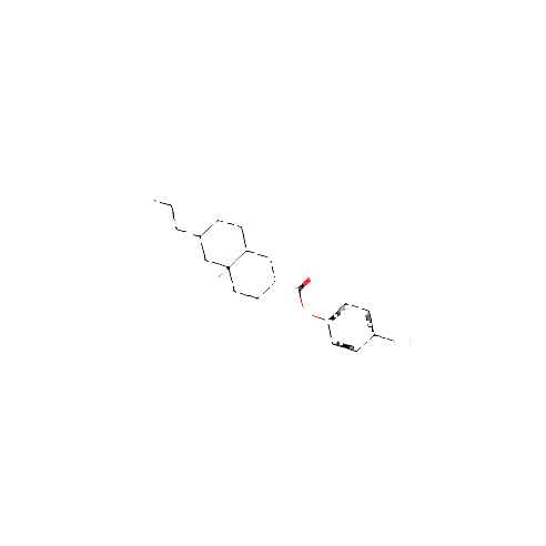 CCCC1CCC2C[C@H](C(=O)Oc3ccc(C)cc3)CC[C@@H]2C1